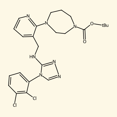 CC(C)(C)OC(=O)N1CCCN(c2ncccc2CNc2nncn2-c2cccc(Cl)c2Cl)CC1